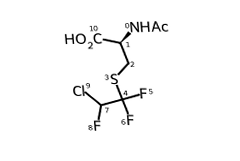 CC(=O)N[C@@H](CSC(F)(F)C(F)Cl)C(=O)O